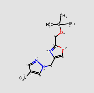 CC(C)(C)[Si](C)(C)OCc1nc(Cn2cc([N+](=O)[O-])cn2)co1